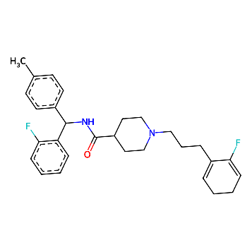 Cc1ccc(C(NC(=O)C2CCN(CCCC3=CCCC=C3F)CC2)c2ccccc2F)cc1